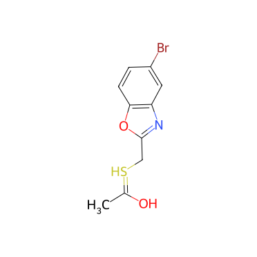 CC(O)=[SH]Cc1nc2cc(Br)ccc2o1